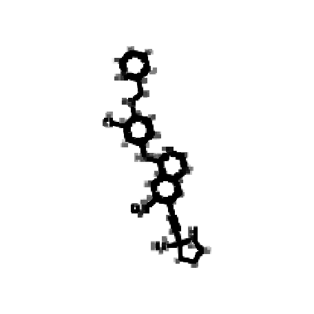 CC1(C#Cc2cc3ncnc(Nc4ccc(OCc5ccccn5)c(Cl)c4)c3cc2[N+](=O)[O-])CCCN1